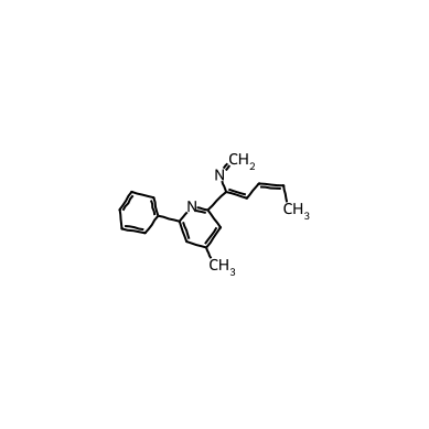 C=N/C(=C\C=C/C)c1cc(C)cc(-c2ccccc2)n1